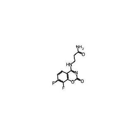 NC(=O)CCNc1nc(=O)oc2c(F)c(F)ccc12